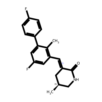 Cc1c(/C=C2\C[C@H](C)CNC2=O)cc(F)cc1-c1ccc(F)cc1